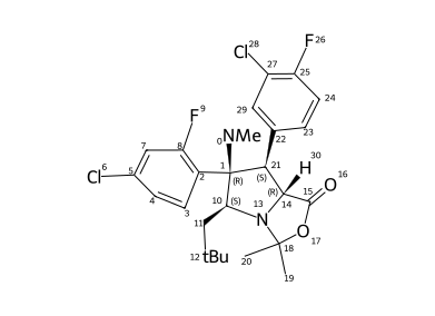 CN[C@]1(c2ccc(Cl)cc2F)[C@H](CC(C)(C)C)N2[C@@H](C(=O)OC2(C)C)[C@@H]1c1ccc(F)c(Cl)c1